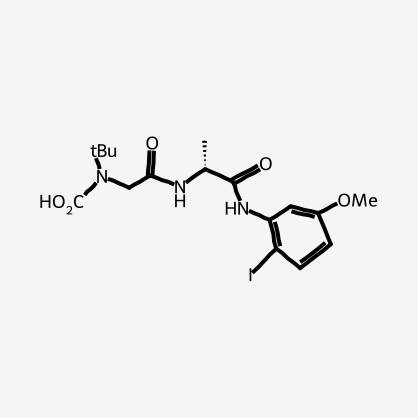 COc1ccc(I)c(NC(=O)[C@@H](C)NC(=O)CN(C(=O)O)C(C)(C)C)c1